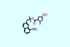 CN1CC(O)CC1C(=O)OC(C)(C)Cc1ccc2cccc(C(C)(C)C)c2c1